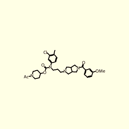 COc1cccc(C(=O)N2CC3CN(CCCN(C(=O)OC4CCN(C(C)=O)CC4)c4ccc(C)c(Cl)c4)CC3C2)c1